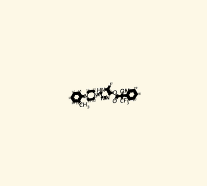 COC(C(=O)OC1=C(I)NN(N2CCN(c3ccccc3C)CC2)N=N1)(c1ccccc1)C(F)(F)F